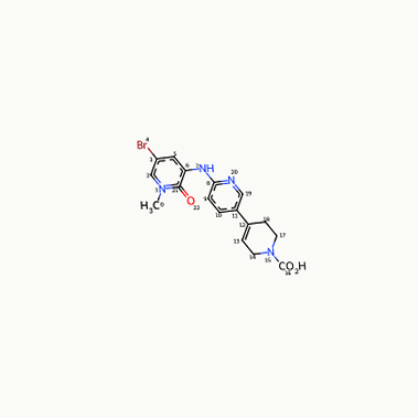 Cn1cc(Br)cc(Nc2ccc(C3=CCN(C(=O)O)CC3)cn2)c1=O